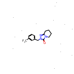 O=c1n(Cc2cccc(C(F)(F)F)c2)nc2n1CCCC2